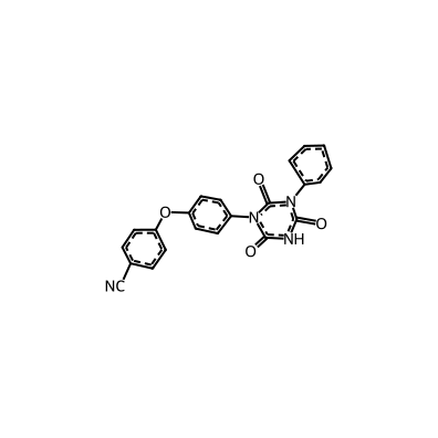 N#Cc1ccc(Oc2ccc(-n3c(=O)[nH]c(=O)n(-c4ccccc4)c3=O)cc2)cc1